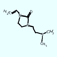 C=CN1CCN(CCN(C)C)C1=O